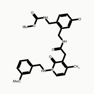 COc1cccc(CNn2ccc(C)c(CC(=O)NCc3cc(Cl)ccc3CNC(=O)OC(C)(C)C)c2=O)c1